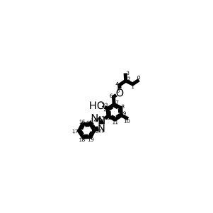 CCC(C)COCc1cc(C)cc(-n2nc3ccccc3n2)c1O